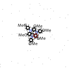 COc1ccc(N2c3cc(OC)cc4c3[Si]3(c5ccccc5)c5c2cc(OC)cc5N(c2ccc(OC)cc2)c2cc(OC)cc(c23)N4c2ccc(OC)cc2)cc1